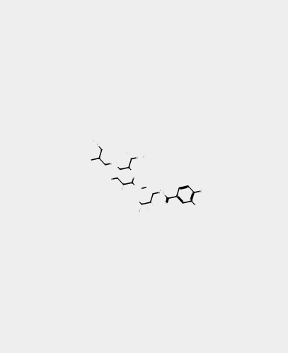 CC(CN)COCC(OC(OC[C@H](NC(=O)c1ccc(F)c(F)c1)[C@H](O)[C@@H](C)O)[C@@H](O)CO)[C@@H](C)O